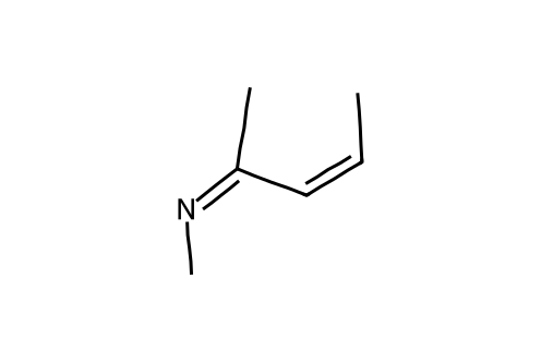 C/C=C\C(C)=N/C